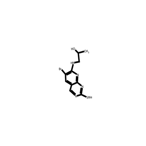 CSc1ncc2cc(Br)c(NCC(C)O)nc2n1